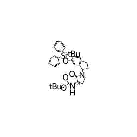 CC(C)(C)OC(=O)N[C@H]1CCN(C2CCc3ccc(O[Si](c4ccccc4)(c4ccccc4)C(C)(C)C)cc32)C1=O